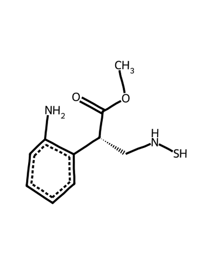 COC(=O)[C@H](CNS)c1ccccc1N